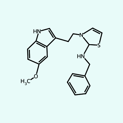 COc1ccc2[nH]cc(CCN3C=CSC3NCc3ccccc3)c2c1